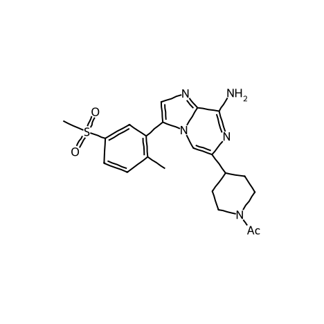 CC(=O)N1CCC(c2cn3c(-c4cc(S(C)(=O)=O)ccc4C)cnc3c(N)n2)CC1